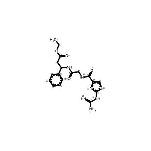 CCOC(=O)CC(NC(=O)CNC(=O)c1csc(NC(=N)N)n1)c1ccccc1